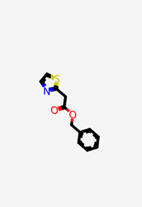 O=C(Cc1nccs1)OCc1ccccc1